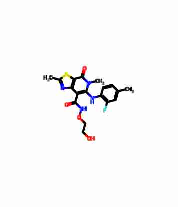 Cc1ccc(Nc2c(C(=O)NOCCO)c3nc(C)sc3c(=O)n2C)c(F)c1